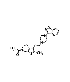 CC(=O)N1CCc2c(sc(C)c2CCN2CCN(c3nsc4ccccc34)CC2)C1